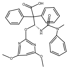 COc1cc(OC)nc(O[C@@H](NC(=O)N(C)c2ccccc2)C(C(=O)O)(c2ccccc2)c2ccccc2)n1